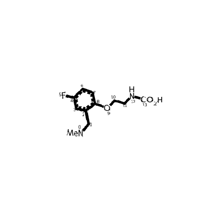 CNCc1cc(F)ccc1OCCNC(=O)O